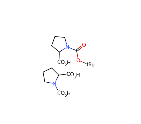 CC(C)(C)OC(=O)N1CCCC1C(=O)O.O=C(O)C1CCCN1C(=O)O